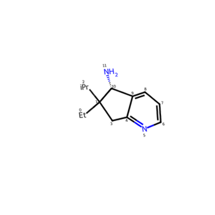 CCC1(C(C)C)Cc2ncccc2[C@H]1N